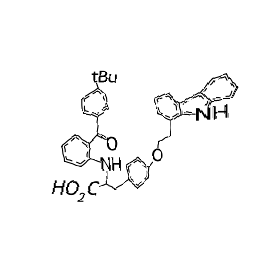 CC(C)(C)c1ccc(C(=O)c2ccccc2NC(Cc2ccc(OCCc3cccc4c3[nH]c3ccccc34)cc2)C(=O)O)cc1